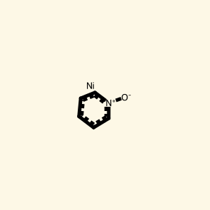 [Ni].[O-][n+]1ccccc1